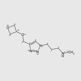 CNCCCn1cc(COC2COC2)nn1